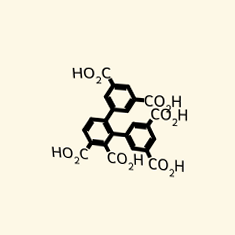 O=C(O)c1cc(C(=O)O)cc(-c2ccc(C(=O)O)c(C(=O)O)c2-c2cc(C(=O)O)cc(C(=O)O)c2)c1